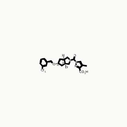 CC[C@]12C[C@H](OCc3cccc(C(F)(F)F)c3)C[C@H]1CN(C(=O)n1cc(C)c(C(=O)O)n1)C2